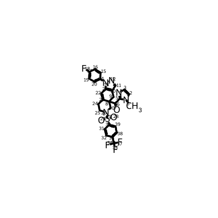 Cn1ccnc1C(=O)C12Cc3cnn(-c4ccc(F)cc4)c3C=C1CCN(S(=O)(=O)c1ccc(C(F)(F)F)cc1)C2